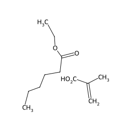 C=C(C)C(=O)O.CCCCCC(=O)OCC